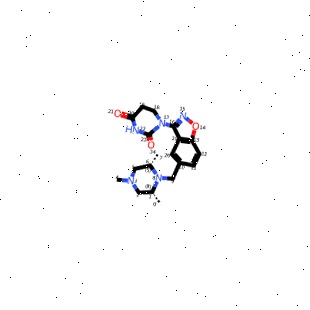 C[C@@H]1CN(C)C[C@H](C)N1Cc1ccc2onc(N3CCC(=O)NC3=O)c2c1